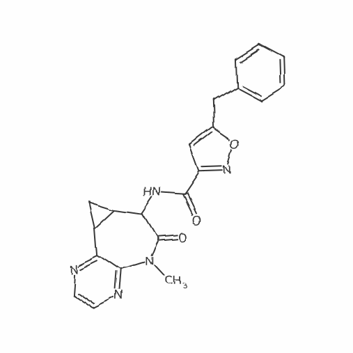 CN1C(=O)C(NC(=O)c2cc(Cc3ccccc3)on2)C2CC2c2nccnc21